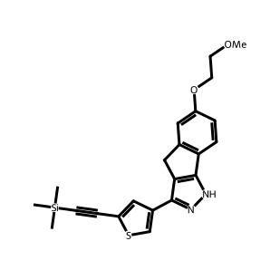 COCCOc1ccc2c(c1)Cc1c(-c3csc(C#C[Si](C)(C)C)c3)n[nH]c1-2